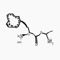 CC([SiH3])OC(=O)[C@@H](N)Cc1ccccc1.Cl